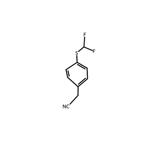 N#CCc1ccc(SC(F)F)cc1